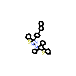 c1ccc2cc(-c3ccc(-c4nc(-n5c6ccccc6c6c7sc8ccccc8c7c7ccccc7c65)nc5sc6ccccc6c45)cc3)ccc2c1